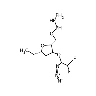 CC[C@H]1CC(OC(N=[N+]=[N-])C(F)F)[C@@H](COPPP)O1